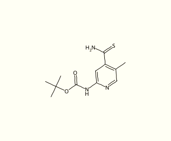 Cc1cnc(NC(=O)OC(C)(C)C)cc1C(N)=S